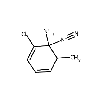 CC1C=CC=C(Cl)C1(N)[N+]#N